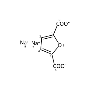 O=C([O-])c1ccc(C(=O)[O-])o1.[Na+].[Na+]